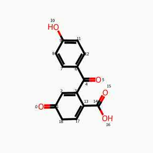 O=C1C=C(C(=O)c2ccc(O)cc2)C(C(=O)O)=CC1